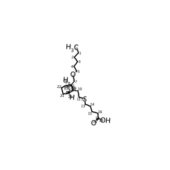 CCCCCCOC[C@H]1[C@@H](CCSCCCCC(=O)O)[C@H]2CC[C@@H]1O2